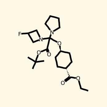 CCOC(=O)[C@H]1CC[C@H](OC(C(=O)OC(C)(C)C)(N2CCCC2)N2CC(F)C2)CC1